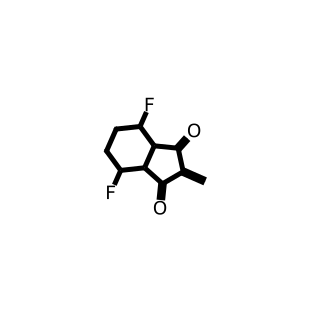 C=C1C(=O)C2C(F)CCC(F)C2C1=O